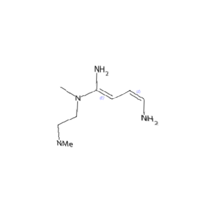 CNCCN(C)/C(N)=C/C=C\N